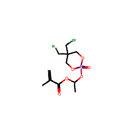 C=C(C)C(=O)OC(C)OP1(=O)OCC(CBr)(CBr)CO1